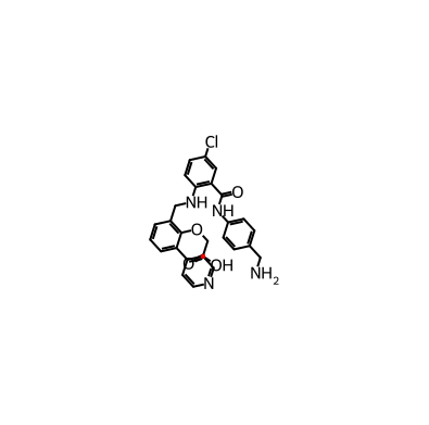 NCc1ccc(NC(=O)c2cc(Cl)ccc2NCc2cccc(-c3ccncc3)c2OCC(=O)O)cc1